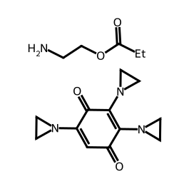 CCC(=O)OCCN.O=C1C=C(N2CC2)C(=O)C(N2CC2)=C1N1CC1